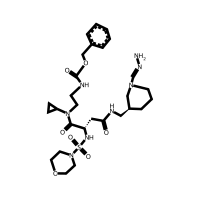 NN=CN1CCC[C@@H](CNC(=O)C[C@H](NS(=O)(=O)N2CCOCC2)C(=O)N(CCNC(=O)OCc2ccccc2)C2CC2)C1